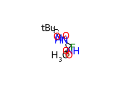 CC(C)(C)[C@H]1CC[C@]2(CC1)CC(C(=O)NCc1ccc(NS(C)(=O)=O)c(F)c1)=NO2